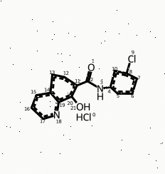 Cl.O=C(Nc1cccc(Cl)c1)c1ccc2cccnc2c1O